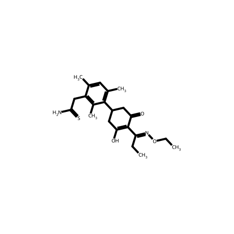 CCON=C(CC)C1=C(O)CC(c2c(C)cc(C)c(CC(N)=S)c2C)CC1=O